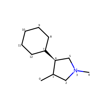 CC1CN(C)C[C@@H]1C1CCCCC1